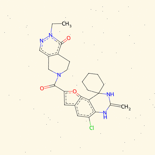 C=C1Nc2c(Cl)cc3cc(C(=O)N4CCc5c(cnn(CC)c5=O)C4)oc3c2C2(CCCCC2)N1